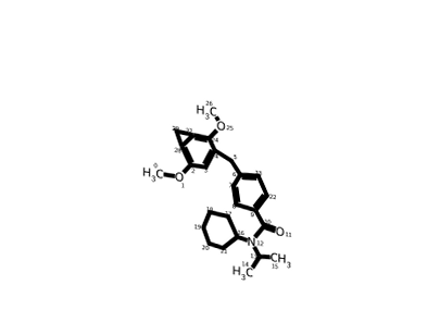 COc1cc(Cc2ccc(C(=O)N(C(C)C)C3CCCCC3)cc2)c(OC)c2c1C2